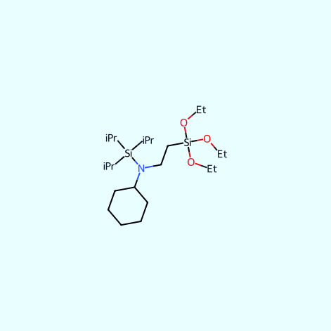 CCO[Si](CCN(C1CCCCC1)[Si](C(C)C)(C(C)C)C(C)C)(OCC)OCC